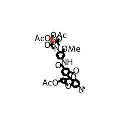 COc1cc(NC(=O)c2ccc3c(c2)C(=O)OC32c3ccc(OC(C)=O)cc3Oc3cc(N(C)C)ccc32)ccc1N(CC(=O)OCOC(C)=O)CC(=O)OCOC(C)=O